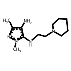 Cc1nn(C)c(NCCN2CCCCC2)c1N